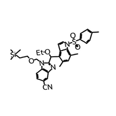 CCOC(c1c(C)cc(C)c2c1ccn2S(=O)(=O)c1ccc(C)cc1)c1nc2cc(C#N)ccc2n1COCC[Si](C)(C)C